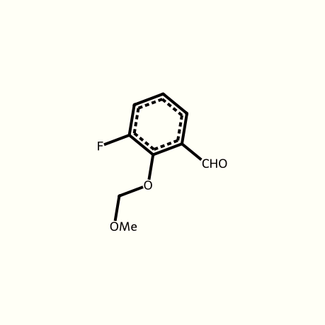 COCOc1c(F)cccc1C=O